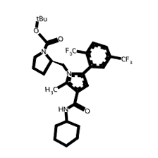 Cc1c(C(=O)NC2CCCCC2)cc(-c2cc(C(F)(F)F)ccc2C(F)(F)F)n1C[C@H]1CCCN1C(=O)OC(C)(C)C